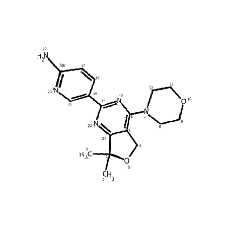 CC1(C)OCc2c(N3CCOCC3)nc(-c3ccc(N)nc3)nc21